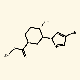 CC(C)(C)OC(=O)N1CC[C@H](O)[C@@H](n2cc(Br)cn2)C1